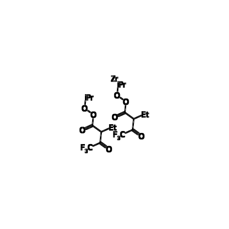 CCC(C(=O)OOC(C)C)C(=O)C(F)(F)F.CCC(C(=O)OOC(C)C)C(=O)C(F)(F)F.[Zr]